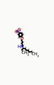 CCCCCCC(CC)NCCCCOc1ccc([N+](=O)[O-])cc1